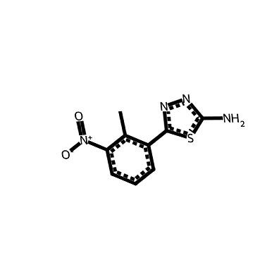 Cc1c(-c2nnc(N)s2)cccc1[N+](=O)[O-]